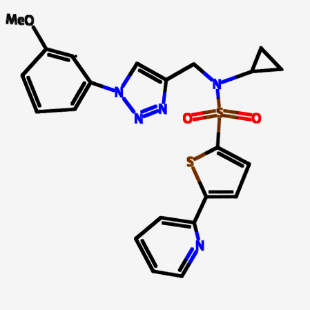 COc1[c]c(-n2cc(CN(C3CC3)S(=O)(=O)c3ccc(-c4ccccn4)s3)nn2)ccc1